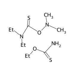 CCN(CC)C(=S)ON(C)C.CCOC(N)=S